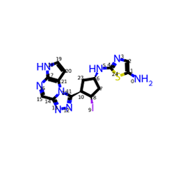 Nc1cnc(N[C@H]2C[C@@H](I)[C@@H](c3nnc4cnc5[nH]ccc5n34)C2)s1